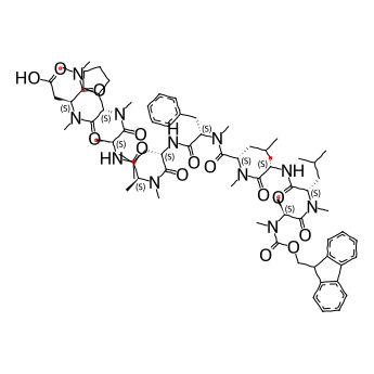 CC(C)C[C@H](NC(=O)[C@H](Cc1ccccc1)N(C)C(=O)[C@H](CC(C)C)N(C)C(=O)[C@H](C)NC(=O)[C@H](CC(C)C)N(C)C(=O)[C@H](C)N(C)C(=O)OCC1c2ccccc2-c2ccccc21)C(=O)N(C)[C@@H](C)C(=O)N[C@@H](C)C(=O)N(C)[C@H](C(=O)N(C)[C@@H](CC(=O)O)C(=O)N(C)C)C1CCCC1